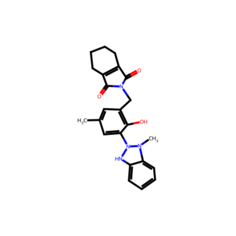 Cc1cc(CN2C(=O)C3=C(CCCC3)C2=O)c(O)c(N2Nc3ccccc3N2C)c1